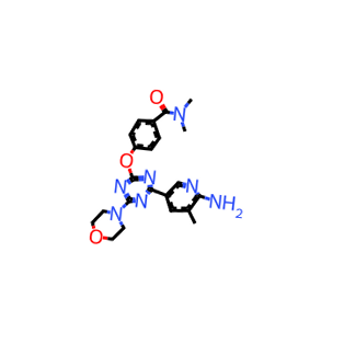 Cc1cc(-c2nc(Oc3ccc(C(=O)N(C)C)cc3)nc(N3CCOCC3)n2)cnc1N